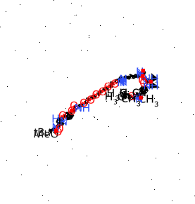 COC(=O)[C@H](CCC(C)(C)C)NC(=O)c1ccc(Oc2cccc(OCC(=O)NCCOCCOCCOCCOCCOCCOCc3cn(CCCCCCn4nccc4C(=O)N[C@H](C(=O)Nc4ccc(-c5c(C)nn(COCC[Si](C)(C)C)c5C)cc4)C(C4CC4)C4CC4)nn3)c2)nc1